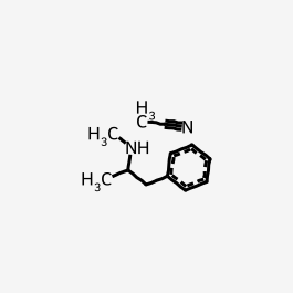 CC#N.CNC(C)Cc1ccccc1